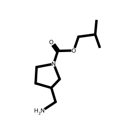 CC(C)COC(=O)N1CCC(CN)C1